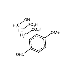 CC(=O)O.CO.COc1ccc(C=O)cc1.O=S(=O)(O)O